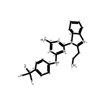 CCCc1nc2ccccc2n1-c1nc(N)nc(Nc2ccc(C(F)(F)F)cc2)n1